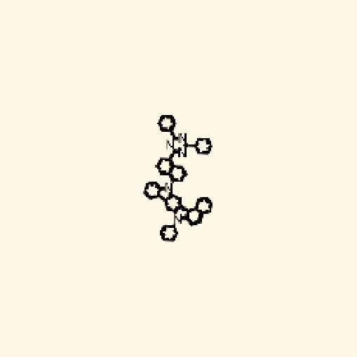 c1ccc(-c2nc(-c3ccccc3)nc(-c3cccc4c(-n5c6ccccc6c6cc7c(cc65)c5c6ccccc6ccc5n7-c5ccccc5)cccc34)n2)cc1